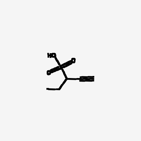 C#CC(CC)S(=O)(=O)O